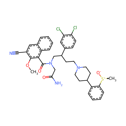 COc1c(C#N)cc2ccccc2c1C(=O)N(CC(N)=O)CC(CCN1CCC(c2ccccc2[S@+](C)[O-])CC1)c1ccc(Cl)c(Cl)c1